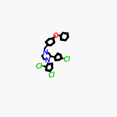 Clc1ccc(C2CN(Cc3ccc(Oc4ccccc4)cc3)CCN2c2ccc(Cl)cc2Cl)cc1